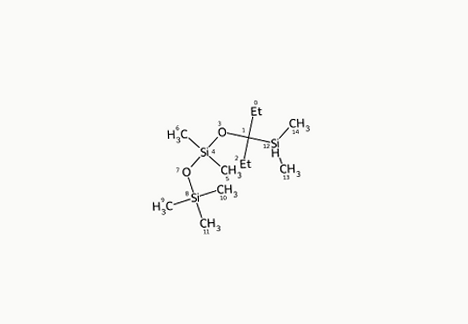 CCC(CC)(O[Si](C)(C)O[Si](C)(C)C)[SiH](C)C